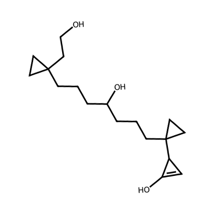 OCCC1(CCCC(O)CCCC2(C3C=C3O)CC2)CC1